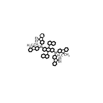 CCC1(CC)C2=C(C=CCC2)c2ccc(N(c3ccc4c(c3)C(C)(C)c3ccccc3-4)c3ccc4c(-c5cccc6ccccc56)c5cc(N(c6ccc7c(c6)C(C)(C)c6ccccc6-7)c6ccc7c(c6)C(CC)(CC)c6ccccc6-7)ccc5c(-c5cccc6ccccc56)c4c3)cc21